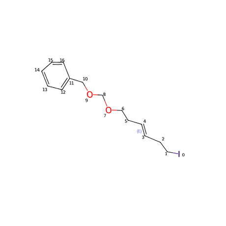 ICC/C=C/CCOCOCc1ccccc1